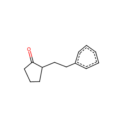 O=C1CCCC1CCc1ccccc1